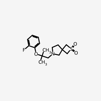 CC(C)(CN1CCC2(C1)CS(=O)(=O)C2)Oc1ccccc1F